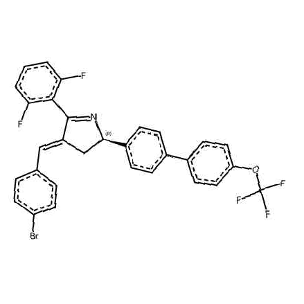 Fc1cccc(F)c1C1=N[C@@H](c2ccc(-c3ccc(OC(F)(F)F)cc3)cc2)CC1=Cc1ccc(Br)cc1